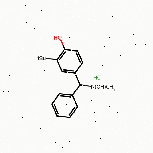 CN(O)C(c1ccccc1)c1ccc(O)c(C(C)(C)C)c1.Cl